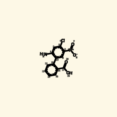 Nc1cc(Cl)c([N+](=O)[O-])cc1-c1ccccc1C(=O)O